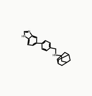 c1nc2cc(-c3ccc(CNC45CC6CC(CC(C6)C4)C5)cc3)ccc2[nH]1